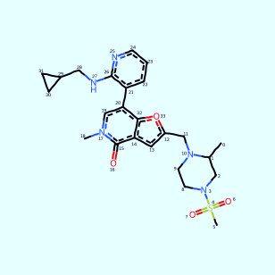 CC1CN(S(C)(=O)=O)CCN1Cc1cc2c(=O)n(C)cc(-c3cccnc3NCC3CC3)c2o1